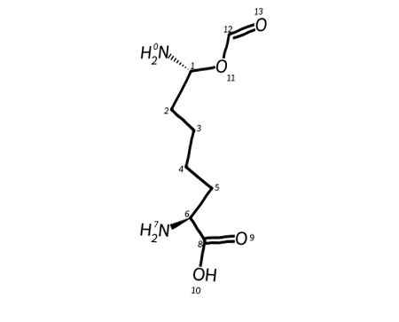 N[C@@H](CCCC[C@H](N)C(=O)O)OC=O